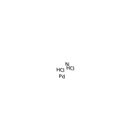 Cl.Cl.[N].[Pd]